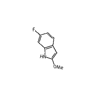 COc1cc2ccc(F)cc2[nH]1